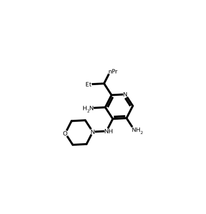 CCCC(CC)c1ncc(N)c(NN2CCOCC2)c1N